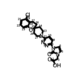 O=C(O)Cn1ccn(-c2ccc(N3CCC4(CCc5c(Cl)cccc5O4)CC3)nn2)c1=O